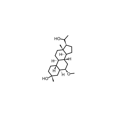 CO[C@@H]1C[C@@H]2[C@H](CC[C@]3(C)[C@@H](C(C)O)CC[C@@H]23)[C@H]2CC[C@@](C)(O)C[C@@H]21